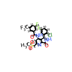 CS(=O)(=O)Cc1cc(NC(=O)c2cc(F)cc(C(F)(F)F)c2)c2c(n1)C(=O)NC2c1cc(F)ccc1Cl